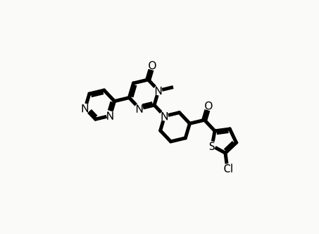 Cn1c(N2CCCC(C(=O)c3ccc(Cl)s3)C2)nc(-c2ccncn2)cc1=O